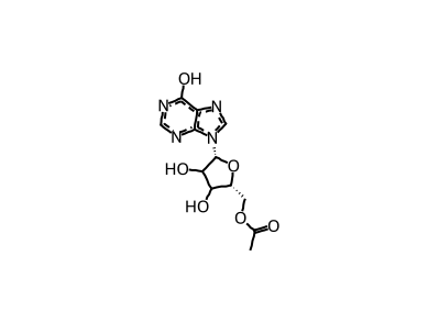 CC(=O)OC[C@H]1O[C@@H](n2cnc3c(O)ncnc32)C(O)C1O